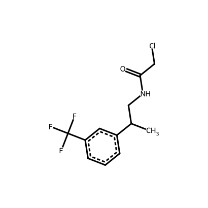 CC(CNC(=O)CCl)c1cccc(C(F)(F)F)c1